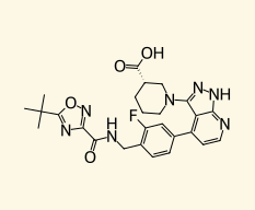 CC(C)(C)c1nc(C(=O)NCc2ccc(-c3ccnc4[nH]nc(N5CCC[C@H](C(=O)O)C5)c34)cc2F)no1